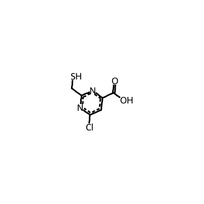 O=C(O)c1cc(Cl)nc(CS)n1